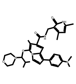 Cc1cc(C)c(CNC(=O)c2cc3c(-c4ccc(N(C)C)cc4)ccn3c(OC(C(C)C)N3CCOCC3)c2C)c(=O)[nH]1